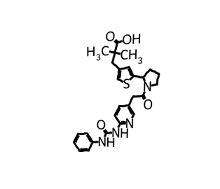 CC(C)(Cc1csc(C2CCCN2C(=O)Cc2ccc(NC(=O)Nc3ccccc3)nc2)c1)C(=O)O